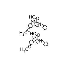 CCOc1ccc(N)c(N2CCN(Cc3ccccc3)CC2CC(=O)O)c1.CCOc1ccc(N)c(N2CCN(Cc3ccccc3)CC2CC(=O)O)c1